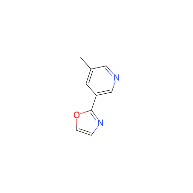 Cc1cncc(-c2ncco2)c1